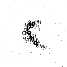 COc1ccc(C2=NC(C)(C(=O)Nc3ccc(C(=O)N4CCN(C(=O)[C@@H]5C[C@H](O)C[N+]5(C)C)CC4)c(Cl)c3)N=C2)c(F)c1F